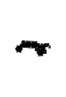 O=C(NCc1ccccc1)c1ccc(-c2ccc(OCc3cc(C(F)(F)F)nn3-c3c(Cl)cccc3Cl)cc2)cc1